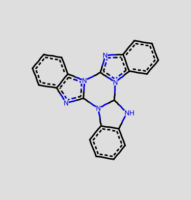 c1ccc2c(c1)NC1N2c2nc3ccccc3n2-c2nc3ccccc3n21